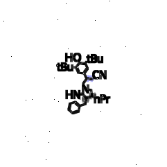 CCC[C@H]1CN(C/C(=C/C#N)c2cc(C(C)(C)C)c(O)c(C(C)(C)C)c2)C(=N)[C@@H]1Cc1ccccc1